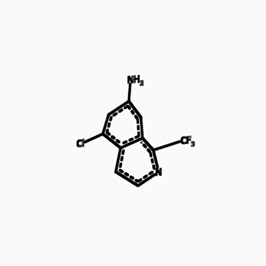 Nc1cc(Cl)c2ccnc(C(F)(F)F)c2c1